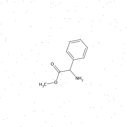 COC(=O)C(N)c1c[c]ccc1